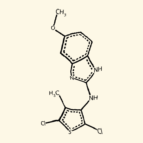 COc1ccc2[nH]c(Nc3c(Cl)sc(Cl)c3C)nc2c1